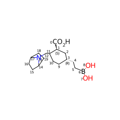 O=C(O)[C@H]1C[C@H](CCB(O)O)CCC1CN1C2CCC1CC2